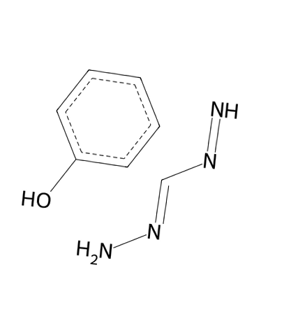 N=NC=NN.Oc1ccccc1